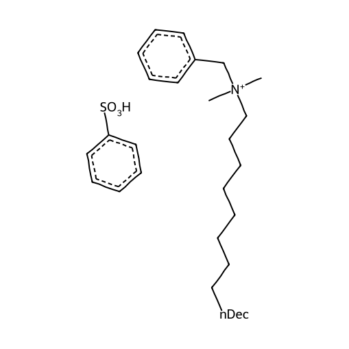 CCCCCCCCCCCCCCCCCC[N+](C)(C)Cc1ccccc1.O=S(=O)(O)c1ccccc1